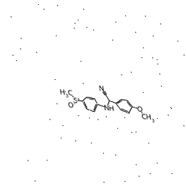 COc1ccc(C(C#N)Nc2ccc([S+](C)[O-])cc2)cc1